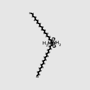 CCCCCCCCCCCCCCCCCC(=O)C(N)(N)C(=O)CCCCCCCCCCCCCCCCC